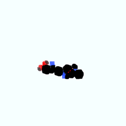 CCn1c2ccccc2c2cc(/C=N\N(c3ccccc3)c3ccc(/C(C#N)=C/c4ccc(OC)c(OC)c4)cc3)ccc21